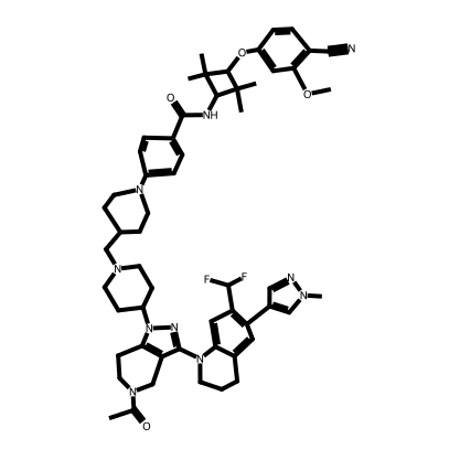 COc1cc(OC2C(C)(C)C(NC(=O)c3ccc(N4CCC(CN5CCC(n6nc(N7CCCc8cc(-c9cnn(C)c9)c(C(F)F)cc87)c7c6CCN(C(C)=O)C7)CC5)CC4)cc3)C2(C)C)ccc1C#N